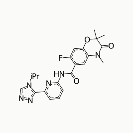 CC(C)n1cnnc1-c1cccc(NC(=O)c2cc3c(cc2F)OC(C)(C)C(=O)N3C)n1